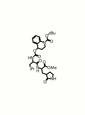 COC(=O)C(CC1CCNC1=O)NC(=O)C(CC(C)C)NC(=O)OC1CCN(C(=O)OC(C)(C)C)c2ccccc21